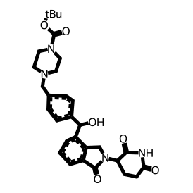 CC(C)(C)OC(=O)N1CCN(Cc2ccc(C(O)c3cccc4c3CN(C3CCC(=O)NC3=O)C4=O)cc2)CC1